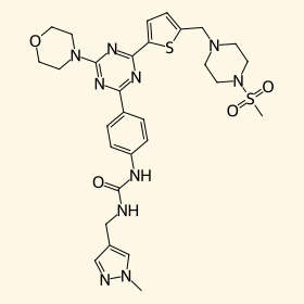 Cn1cc(CNC(=O)Nc2ccc(-c3nc(-c4ccc(CN5CCN(S(C)(=O)=O)CC5)s4)nc(N4CCOCC4)n3)cc2)cn1